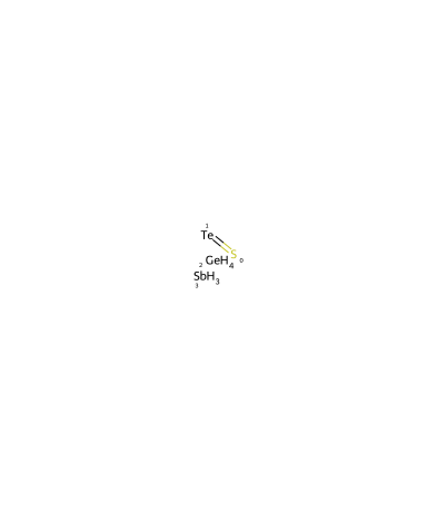 S=[Te].[GeH4].[SbH3]